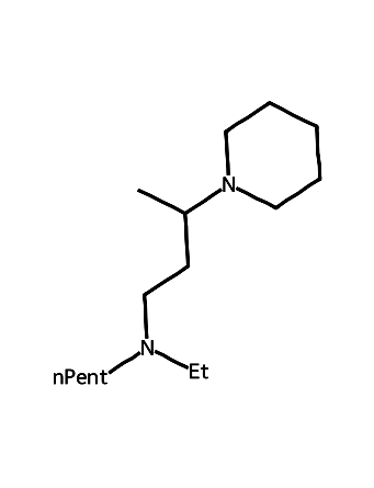 CCCCCN(CC)CCC(C)N1CCCCC1